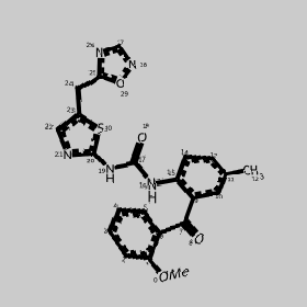 COc1ccccc1C(=O)c1cc(C)ccc1NC(=O)Nc1ncc(Cc2ncno2)s1